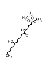 CCCCCC(O)CCCCC(=O)NCCC[Si](OC)(OC)OC